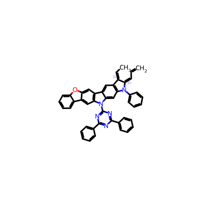 C=C/C=c1\c(=C/C)c2cc3c4cc5oc6ccccc6c5cc4n(-c4nc(-c5ccccc5)nc(-c5ccccc5)n4)c3cc2n1-c1ccccc1